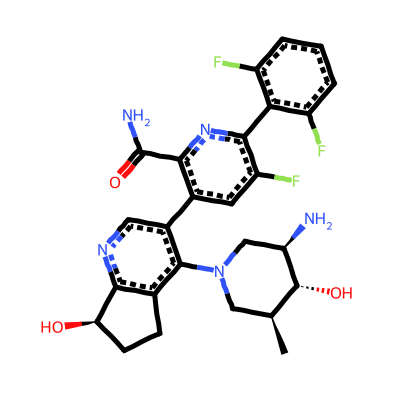 C[C@H]1CN(c2c(-c3cc(F)c(-c4c(F)cccc4F)nc3C(N)=O)cnc3c2CC[C@H]3O)C[C@@H](N)[C@@H]1O